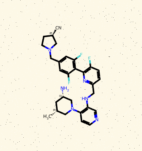 C[C@@H]1C[C@H](N)CN(c2ccncc2NCc2ccc(F)c(-c3c(F)cc(CN4CC[C@@H](C#N)C4)cc3F)n2)C1